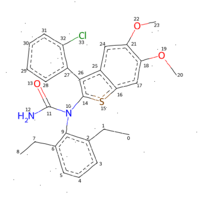 CCc1cccc(CC)c1N(C(N)=O)c1sc2cc(OC)c(OC)cc2c1-c1ccccc1Cl